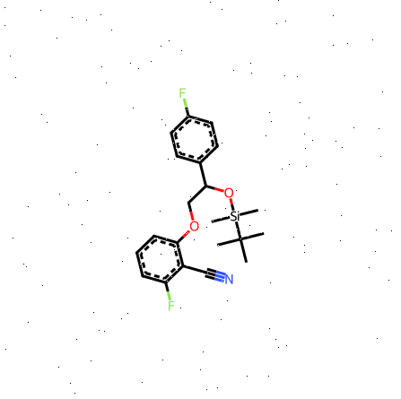 CC(C)(C)[Si](C)(C)OC(COc1cccc(F)c1C#N)c1ccc(F)cc1